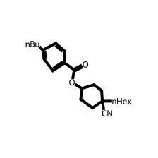 CCCCCCC1(C#N)CCC(OC(=O)c2ccc(CCCC)cc2)CC1